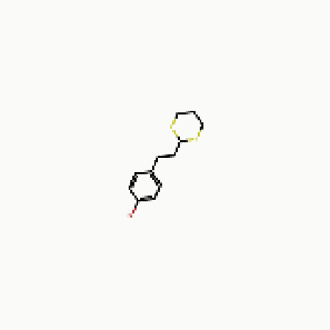 Brc1ccc(CCC2SCCCS2)cc1